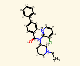 CCN1CCC[C@@H](N(C(=O)c2ccc(-c3ccccc3)cc2)c2ncccc2Cl)C1